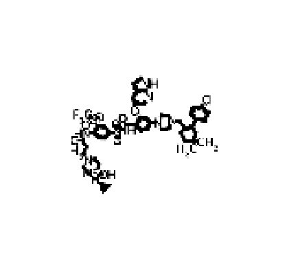 C[C@@H](CCN1CC[SH](O)(=NC2CC2)CC1)Nc1ccc(S(=O)(=O)NC(=O)c2ccc(N3CCN(CC4=C(c5ccc(Cl)cc5)CC(C)(C)CC4)CC3)cc2Oc2cnc3[nH]ccc3c2)cc1S(=O)(=O)C(F)(F)F